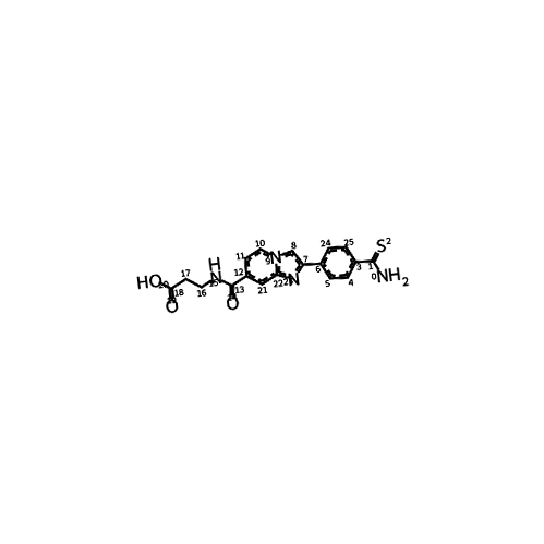 NC(=S)c1ccc(-c2cn3ccc(C(=O)NCCC(=O)O)cc3n2)cc1